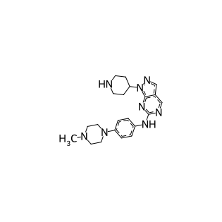 CN1CCN(c2ccc(Nc3ncc4cnn(C5CCNCC5)c4n3)cc2)CC1